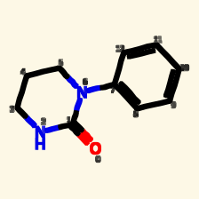 O=C1NCCCN1c1ccccc1